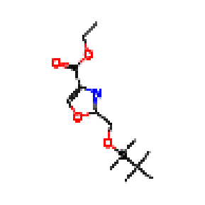 CCOC(=O)c1coc(CO[Si](C)(C)C(C)(C)C)n1